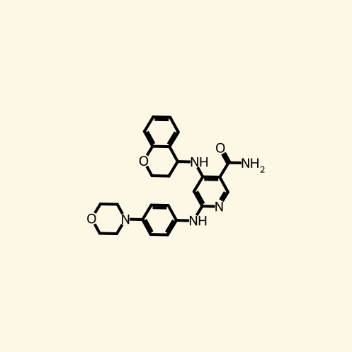 NC(=O)c1cnc(Nc2ccc(N3CCOCC3)cc2)cc1NC1CCOc2ccccc21